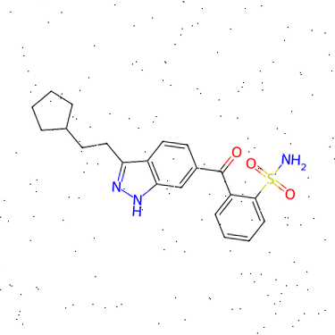 NS(=O)(=O)c1ccccc1C(=O)c1ccc2c(CCC3CCCC3)n[nH]c2c1